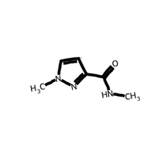 CNC(=O)c1[c]cn(C)n1